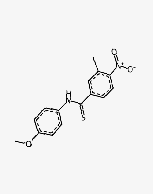 COc1ccc(NC(=S)c2ccc([N+](=O)[O-])c(C)c2)cc1